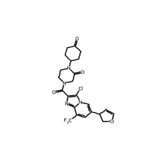 O=C1CCC(N2CCN(C(=O)c3nc4c(C(F)(F)F)cc(C5C=COC5)cn4c3Cl)CC2=O)CC1